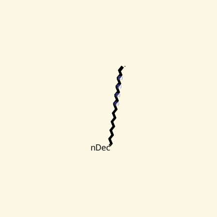 [CH]=C/C=C/C=C/C=C/C=C/CCCCCCCCCCCCCCCCCCC